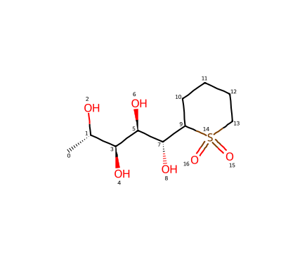 C[C@H](O)[C@H](O)[C@@H](O)[C@@H](O)C1CCCCS1(=O)=O